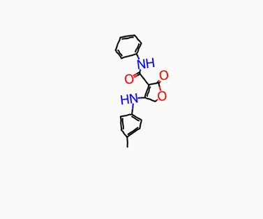 Cc1ccc(NC2=C(C(=O)Nc3ccccc3)C(=O)OC2)cc1